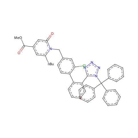 CCCCc1cc(C(=O)OC)cc(=O)n1Cc1ccc(-c2ccccc2-c2nnnn2C(c2ccccc2)(c2ccccc2)c2ccccc2)c(Cl)c1